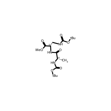 COC(=O)[C@H](CNC(=O)OC(C)(C)C)NC(=O)[C@H](C)NC(=O)OC(C)(C)C